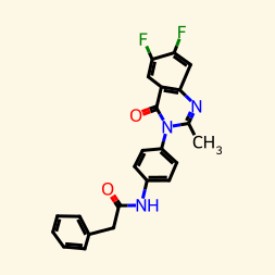 Cc1nc2cc(F)c(F)cc2c(=O)n1-c1ccc(NC(=O)Cc2ccccc2)cc1